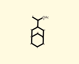 CC(=O)OC(C)C1CC2CCCC(C2)C1